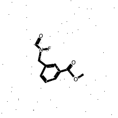 COC(=O)c1cccc(CN(F)[C]=O)c1